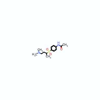 CC(=O)Nc1ccc(S(=O)(=O)C(C)CCN(C)C)cc1